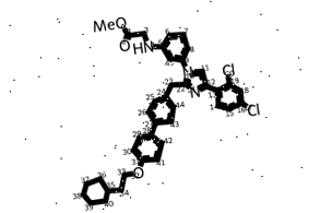 COC(=O)CNc1cccc(-n2cc(-c3ccc(Cl)cc3Cl)nc2Cc2ccc(-c3ccc(OCCC4CCCCC4)cc3)cc2)c1